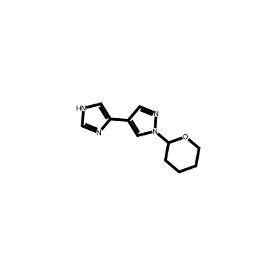 c1nc(-c2cnn(C3CCCCO3)c2)c[nH]1